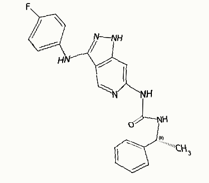 C[C@@H](NC(=O)Nc1cc2[nH]nc(Nc3ccc(F)cc3)c2cn1)c1ccccc1